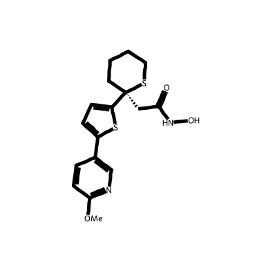 COc1ccc(-c2ccc([C@@]3(CC(=O)NO)CCCCS3)s2)cn1